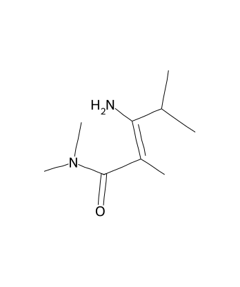 CC(C(=O)N(C)C)=C(N)C(C)C